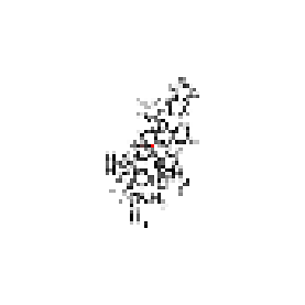 CC(C)(C)c1cc(C(C)(C)C)c2c(c1)C(C)(C)c1cccc(-c3ccccc3N(c3cccc(-c4ccc5ccccc5c4)c3)c3cccc4c3oc3ccccc34)c1-2